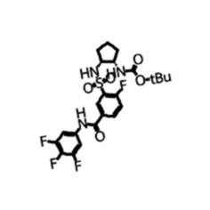 CC(C)(C)OC(=O)N[C@H]1CCC[C@@H]1NS(=O)(=O)c1cc(C(=O)Nc2cc(F)c(F)c(F)c2)ccc1F